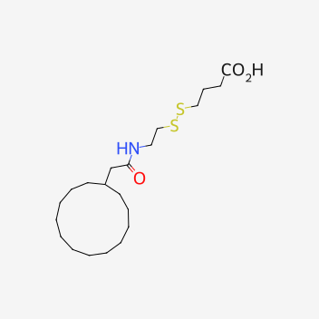 O=C(O)CCCSSCCNC(=O)CC1CCCCCCCCCCCC1